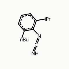 CCCCc1cccc(C(C)C)c1N=C=N